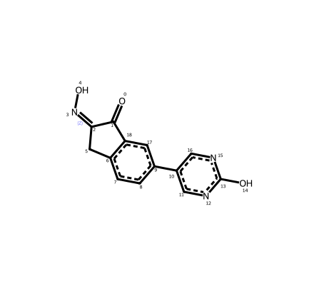 O=C1/C(=N\O)Cc2ccc(-c3cnc(O)nc3)cc21